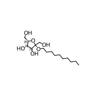 CCCCCCCCCCOC1(CO)O[C@H](CO)[C@@H](O)[C@@H]1O